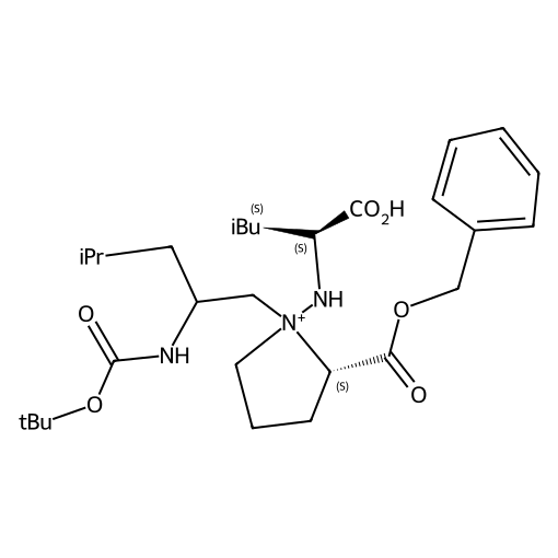 CC[C@H](C)[C@H](N[N+]1(CC(CC(C)C)NC(=O)OC(C)(C)C)CCC[C@H]1C(=O)OCc1ccccc1)C(=O)O